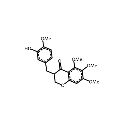 COc1ccc(CC2COc3cc(OC)c(OC)c(OC)c3C2=O)cc1O